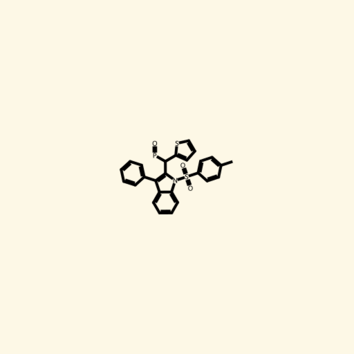 Cc1ccc(S(=O)(=O)n2c(C(P=O)c3cccs3)c(-c3ccccc3)c3ccccc32)cc1